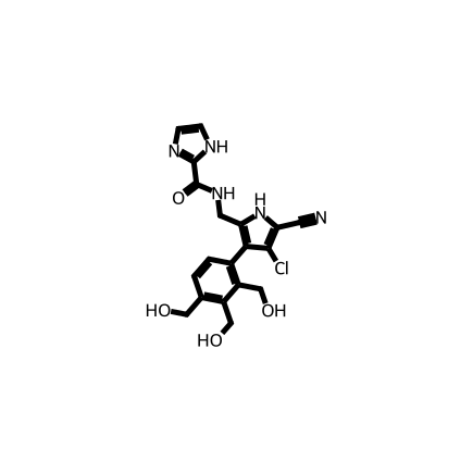 N#Cc1[nH]c(CNC(=O)c2ncc[nH]2)c(-c2ccc(CO)c(CO)c2CO)c1Cl